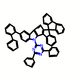 c1ccc(-c2nc(-c3ccccc3)nc(-n3c4ccc(-c5ccccc5-c5ccccc5)cc4c4ccc5c(c43)-c3ccccc3C53c4ccccc4-c4ccccc43)n2)cc1